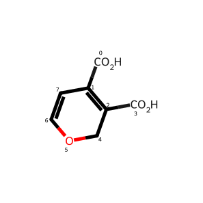 O=C(O)C1=C(C(=O)O)COC=C1